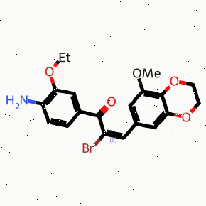 CCOc1cc(C(=O)/C(Br)=C\c2cc(OC)c3c(c2)OCCO3)ccc1N